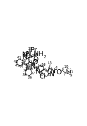 Cc1nn(COCC[Si](C)(C)C)c(C)c1-c1ccc(NC(=O)[C@H](c2nnn(C(C)C)c2C(N)=O)C(C2CCCCC2)C2CCCCC2)nc1Cl